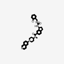 CN(C(=O)c1ccc2c(c1)C(NC(=O)NCc1ccccc1Cl)CC2)C1CCN(c2ccc3cnccc3c2)CC1